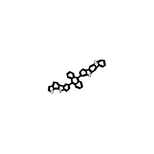 c1ccc2c(c1)oc1cc3c(cc12)oc1cc(-c2c4ccccc4c(-c4ccc5sc6c(ccc7ccoc76)c5c4)c4ccccc24)ccc13